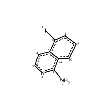 Nc1nccc2c(I)cccc12